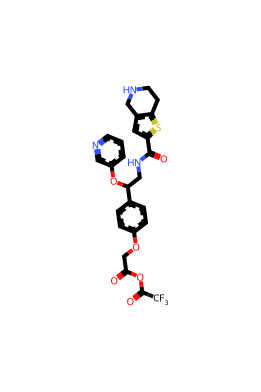 O=C(COc1ccc(C(CNC(=O)c2cc3c(s2)CCNC3)Oc2cccnc2)cc1)OC(=O)C(F)(F)F